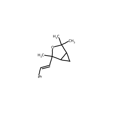 CC(C)/C=C/C1(C)OC(C)(C)C2CC21